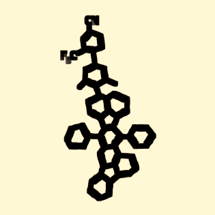 Cc1cc(-c2ccc(C#N)cc2C(F)(F)F)cc(C)c1-c1ccc2c3c(-c4ccccc4)c4cc5c6ccccc6c6cccc(c4c(-c4ccccc4)c3c3cccc1c23)c65